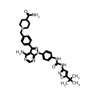 CC(C)(C)c1cc(NC(=O)Nc2ccc(-n3nc(-c4ccc(CN5CCC(C(N)=O)CC5)cc4)c4c(N)ncnc43)cc2)no1